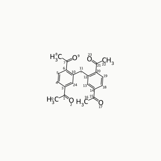 CC(=O)c1ccc(C(C)=O)c([CH]c2cc(C(C)=O)ccc2C(C)=O)c1